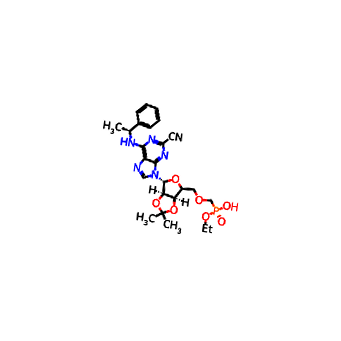 CCOP(=O)(O)COCC1O[C@@H](n2cnc3c(N[C@@H](C)c4ccccc4)nc(C#N)nc32)[C@@H]2OC(C)(C)O[C@H]12